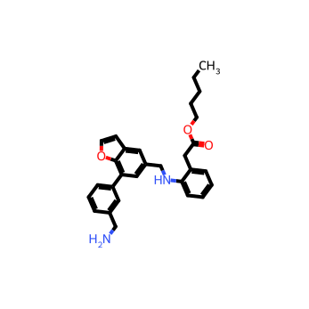 CCCCCOC(=O)Cc1ccccc1NCc1cc(-c2cccc(CN)c2)c2occc2c1